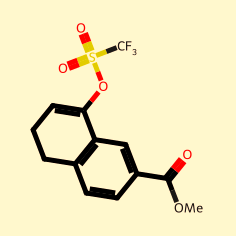 COC(=O)c1ccc2c(c1)C(OS(=O)(=O)C(F)(F)F)=CCC2